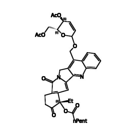 CCCCCC(=O)O[C@]1(CC)C(=O)CCc2c1cc1n(c2=O)Cc2c-1nc1ccccc1c2COC1C=C[C@H](OC(C)=O)[C@@H](COC(C)=O)O1